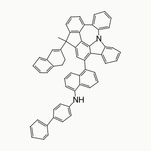 CC1(C2=Cc3ccccc3CC2)c2cccc3c2-c2c1cc(-c1cccc4c(Nc5ccc(-c6ccccc6)cc5)cccc14)c1c4ccccc4n(c21)-c1ccccc1-3